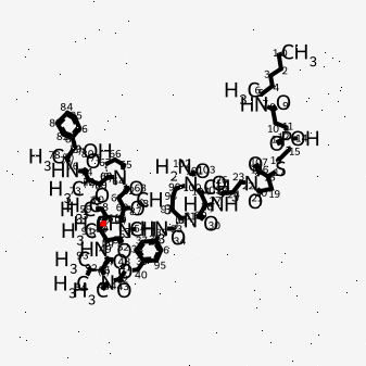 CCCCCC(C)NC(=O)CCP(=O)(O)CCSC1CC(=O)N(CCC(=O)N[C@H]2C(=O)N[C@H](C(=O)Nc3ccc(COC(=O)N(C)[C@H](C(=O)N[C@H](C(=O)N(C)[C@@H](C(C)CC)C(CC(=O)N4CCC[C@H]4[C@H](OC)[C@@H](C)C(=O)N[C@H](C)[C@@H](O)c4ccccc4)OC)C(C)C)C(C)C)cc3)CCCN(C(N)=O)C2C)C1=O